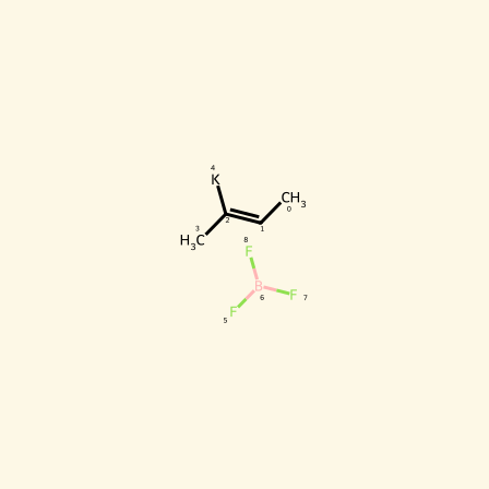 C/C=[C](/C)[K].FB(F)F